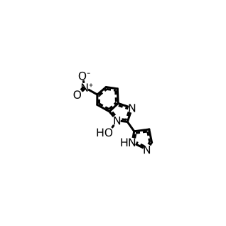 O=[N+]([O-])c1ccc2nc(-c3ccn[nH]3)n(O)c2c1